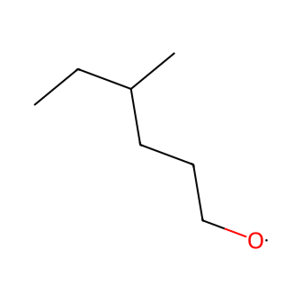 CCC(C)CCC[O]